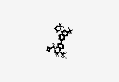 CC(=O)N1c2ccc(-c3ccc4c(c3)CC(C(F)(F)F)CC4N3CCCS3(=O)=O)cc2N(C(=O)C2CCC2)C[C@@H]1C